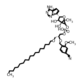 CCCCCCCCCCCCCCCCCCOC[C@H](COP(=O)(O)OC1[C@@]2(C)O[C@@H](c3ccc4c(N)ncnn34)[C@H](O)[C@@]12O)OCc1ccc(C#N)cc1OC